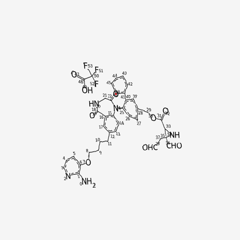 Nc1ncccc1OCCCCc1ccc2c(c1)C(=O)NCC(=O)N2c1ccc(COC(=O)C2NC2(C=O)CC=O)cc1-c1ccccc1.O=C(O)C(F)(F)F